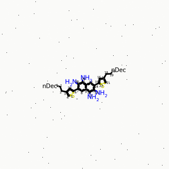 CCCCCCCCCCCCc1csc(-c2cc3c(N)c(N)c(-c4cc(CCCCCCCCCCCC)cs4)cc3c(N)c2N)c1